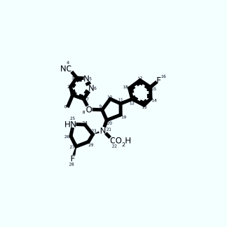 Cc1cc(C#N)nnc1OC1CC(c2ccc(F)cc2)CC1N(C(=O)O)[C@H]1CNC[C@H](F)C1